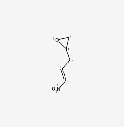 O=[N+]([O-])C=CCC1CO1